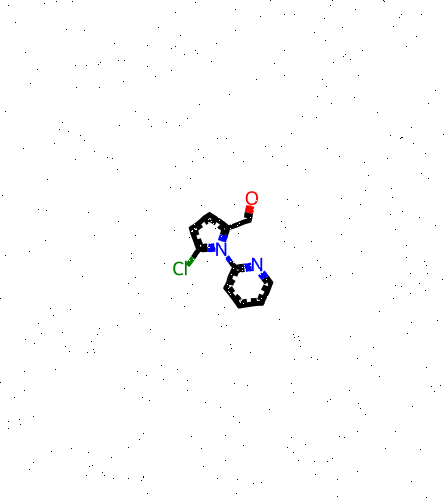 O=Cc1ccc(Cl)n1-c1ccccn1